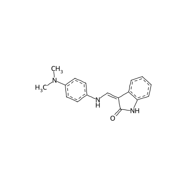 CN(C)c1ccc(NC=C2C(=O)Nc3ccccc32)cc1